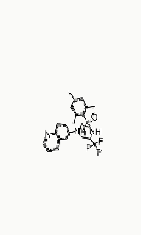 Cc1cc(C)c(S(=O)(=O)NC(CNc2ccc3ncccc3c2)C(F)(F)F)c(C)c1